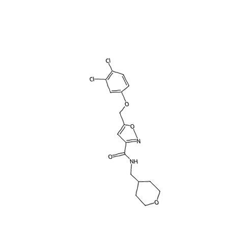 O=C(NCC1CCOCC1)c1cc(COc2ccc(Cl)c(Cl)c2)on1